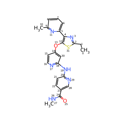 CCc1nc(-c2cccc(C)n2)c(Oc2ccnc(Nc3ccc(C(=O)NC)cn3)c2)s1